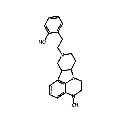 CN1CCN2c3c(cccc31)C1CN(CCc3ccccc3O)CCC12